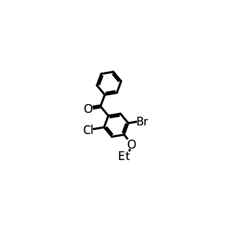 CCOc1cc(Cl)c(C(=O)c2ccccc2)cc1Br